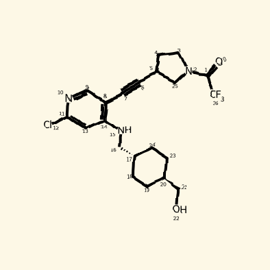 O=C(N1CCC(C#Cc2cnc(Cl)cc2NC[C@H]2CC[C@H](CO)CC2)C1)C(F)(F)F